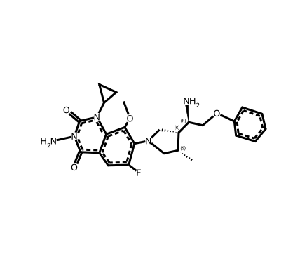 COc1c(N2C[C@H]([C@@H](N)COc3ccccc3)[C@H](C)C2)c(F)cc2c(=O)n(N)c(=O)n(C3CC3)c12